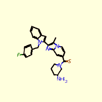 Cc1c(-c2cc3ccccc3n2Cc2ccc(F)cc2)nc2cc(C(=S)N3CCCC(N)C3)ccn12